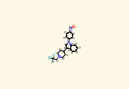 O=Nc1ccc(-n2cc(C3CCN(CC(F)(F)F)CC3)c3ccccc32)cc1